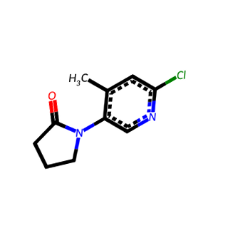 Cc1cc(Cl)ncc1N1CCCC1=O